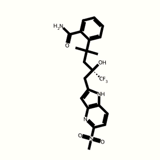 CC(C)(C[C@@](O)(Cc1cc2nc(S(C)(=O)=O)ccc2[nH]1)C(F)(F)F)c1ccccc1C(N)=O